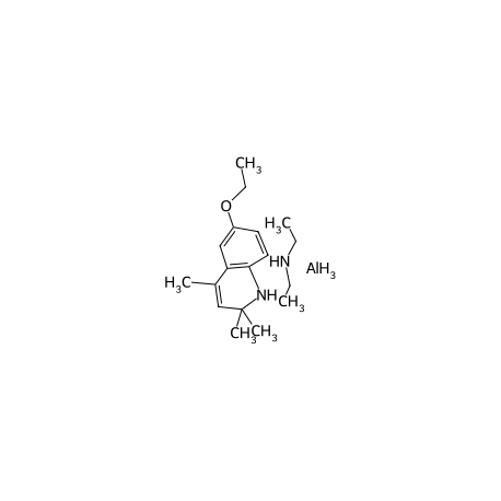 CCNCC.CCOc1ccc2c(c1)C(C)=CC(C)(C)N2.[AlH3]